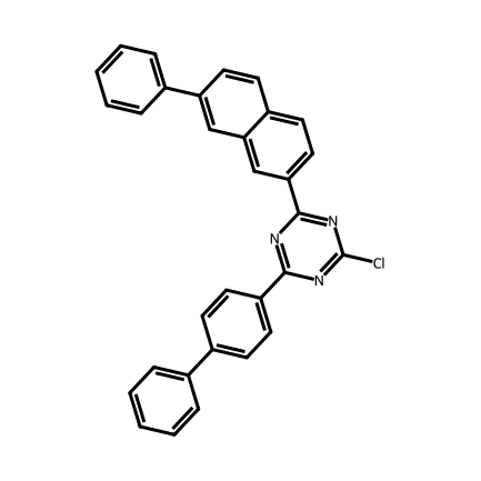 Clc1nc(-c2ccc(-c3ccccc3)cc2)nc(-c2ccc3ccc(-c4ccccc4)cc3c2)n1